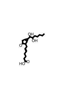 CCCCCC(O)C(O)C1C2CC(=O)C(CC=CCCCC(=O)O)C21